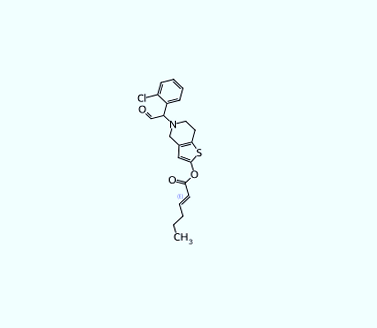 CCC/C=C/C(=O)Oc1cc2c(s1)CCN(C(C=O)c1ccccc1Cl)C2